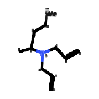 C=CCN(CC=C)C(C)CCSC